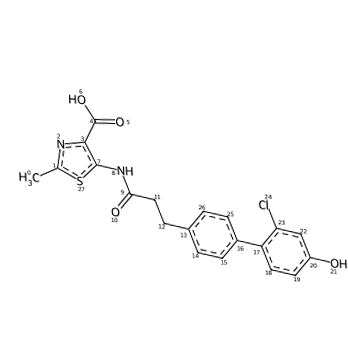 Cc1nc(C(=O)O)c(NC(=O)CCc2ccc(-c3ccc(O)cc3Cl)cc2)s1